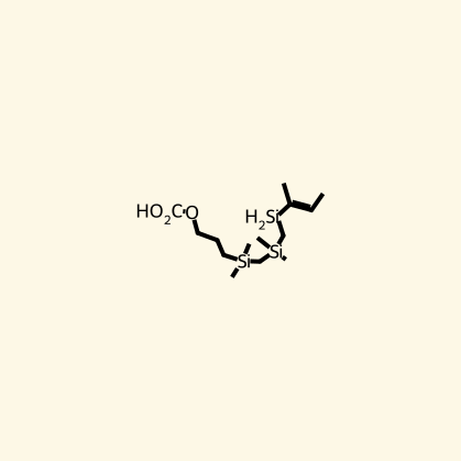 CC=C(C)[SiH2]C[Si](C)(C)C[Si](C)(C)CCCOC(=O)O